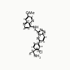 COc1cnc2c(NCc3nnc4ccc(-c5ccc([C@H](C)N)c(Cl)c5)nn34)ccnc2c1